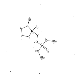 CCC1CCC[N+]1(CC)COP(=O)(OC(C)(C)C)OC(C)(C)C